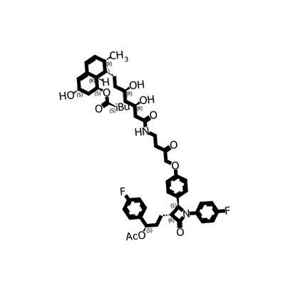 CC[C@H](C)C(=O)O[C@H]1C[C@H](O)C=C2C=C[C@H](C)[C@H](CC[C@@H](O)C[C@@H](O)CC(=O)NCCC(=O)COc3ccc([C@@H]4[C@@H](CC[C@H](OC(C)=O)c5ccc(F)cc5)C(=O)N4c4ccc(F)cc4)cc3)[C@H]21